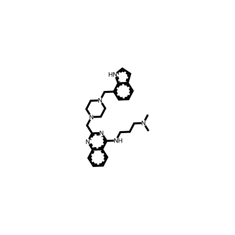 CN(C)CCCNc1nc(CN2CCN(Cc3cccc4cc[nH]c34)CC2)nc2ccccc12